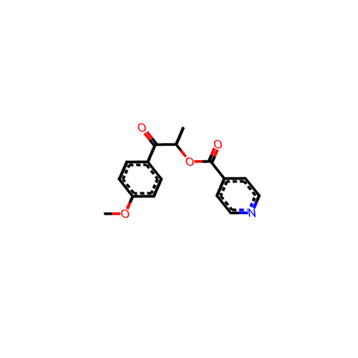 COc1ccc(C(=O)C(C)OC(=O)c2ccncc2)cc1